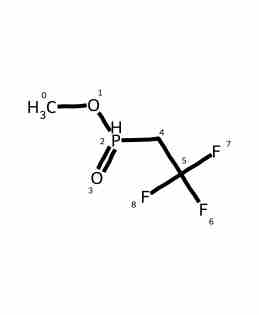 CO[PH](=O)CC(F)(F)F